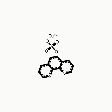 O=S(=O)([O-])[O-].[Cu+2].c1cnc2c(c1)ccc1cccnc12